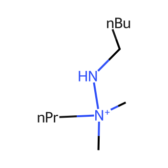 CCCCCN[N+](C)(C)CCC